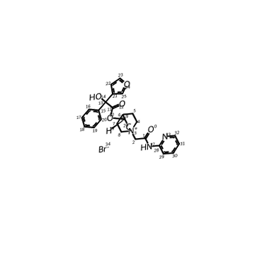 O=C(C[N+]12CCC(CC1)[C@@H](OC(=O)C(O)(c1ccccc1)c1ccoc1)C2)Nc1ccccn1.[Br-]